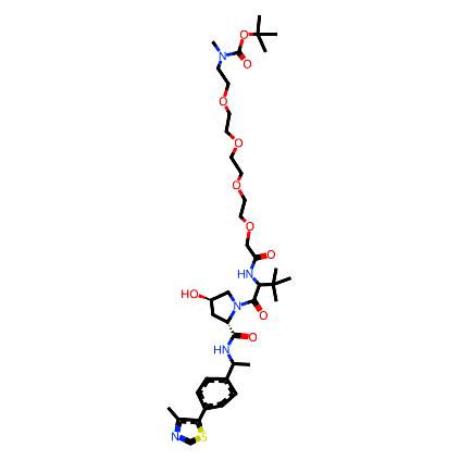 Cc1ncsc1-c1ccc(C(C)NC(=O)[C@@H]2C[C@@H](O)CN2C(=O)C(NC(=O)COCCOCCOCCOCCN(C)C(=O)OC(C)(C)C)C(C)(C)C)cc1